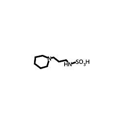 O=S(=O)(O)NCCCN1CCCCC1